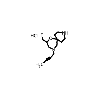 CC#CCN1CC(CF)OC2(CCNCC2)C1.Cl